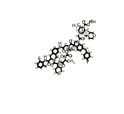 C[C@@H]1COCCN1C[C@H]1CN(C(=O)OC(C)(C)C)[C@H](C)CN1CC(=O)N1CC(C)(C(=O)NCC(=O)Nc2ccc3c(c2)CN(C(=O)[C@@H](NC(=O)[C@H](C)N(C)C(=O)OC(C)(C)C)C2CCOCC2)C(C(=O)Nc2c(F)cccc2F)C3)c2ccc(Cc3ccc(F)cc3)cc21